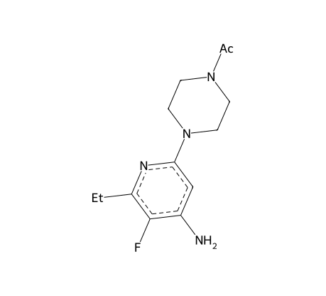 CCc1nc(N2CCN(C(C)=O)CC2)cc(N)c1F